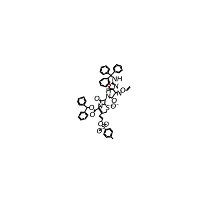 C=CO/N=C(/C(=O)NC1C(=O)N2C(C(=O)OC(c3ccccc3)c3ccccc3)=C(/C=C/OS(=O)(=O)c3ccc(C)cc3)C[S+]([O-])C12)c1csc(NC(c2ccccc2)(c2ccccc2)c2ccccc2)n1